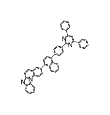 c1ccc(-c2cc(-c3ccccc3)nc(-c3ccc(-c4ccc(-c5ccc6c(ccc7nc8ccccc8n76)c5)c5ccccc45)cc3)n2)cc1